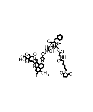 CC[C@@]1(O)C(=O)OCc2c1cc1n(c2=O)Cc2c-1nc1cc(F)c(C)c3c1c2[C@@H](N1CC(OCNC(=O)CNC(=O)[C@H](Cc2ccccc2)NC(=O)CNC(=O)CNC(=O)CCCCCN2C(=O)C=CC2=O)C1)CC3